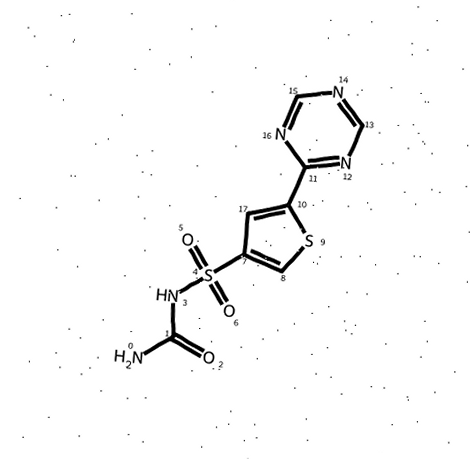 NC(=O)NS(=O)(=O)c1csc(-c2ncncn2)c1